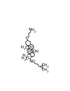 C/C(=N/OCCCN(C)C)[C@H]1CC[C@@]2(O)[C@@H]3CCC4CC(OCCCN)CC[C@]4(C)[C@H]3CC[C@]12C